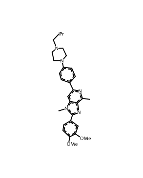 COc1ccc(-c2nc3c(C)nc(-c4ccc(N5CCN(CC(C)C)CC5)cc4)cc3n2C)cc1OC